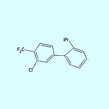 CC(C)c1c[c]ccc1-c1ccc(C(F)(F)F)c(Cl)c1